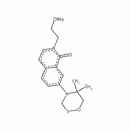 COCCn1ccc2ccc(N3CSOCC3(C)C)cc2c1=O